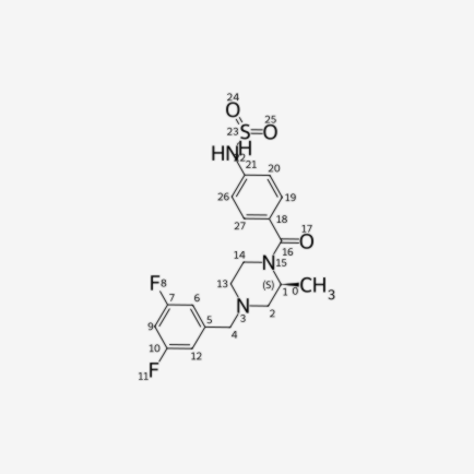 C[C@H]1CN(Cc2cc(F)cc(F)c2)CCN1C(=O)c1ccc(N[SH](=O)=O)cc1